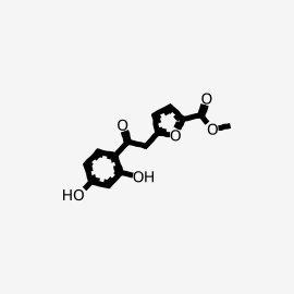 COC(=O)c1ccc(CC(=O)c2ccc(O)cc2O)o1